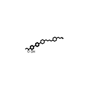 C=CCCC1CCC(CCCCC2CCC(c3ccc(-c4ccc(C(=O)CC)c(O)c4)cc3)CC2)CC1